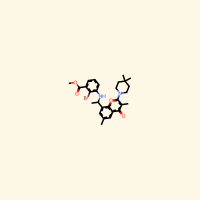 COC(=O)c1cccc(NC(C)c2cc(C)cc3c(=O)c(C)c(N4CCC(C)(C)CC4)oc23)c1Br